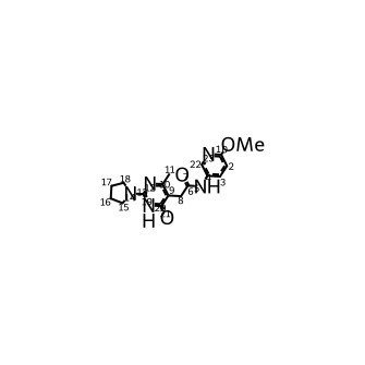 COc1ccc(NC(=O)Cc2c(C)nc(N3CCCC3)[nH]c2=O)cn1